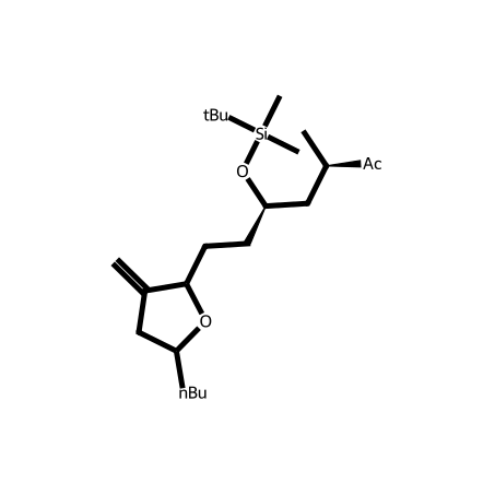 C=C1CC(CCCC)OC1CC[C@H](C[C@@H](C)C(C)=O)O[Si](C)(C)C(C)(C)C